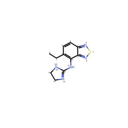 CCc1ccc2nsnc2c1NC1=NCCN1